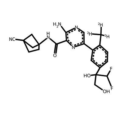 [2H]C([2H])([2H])c1ccc(C(O)(CO)C(F)F)cc1-c1cnc(N)c(C(=O)NC23CCC(C#N)(C2)C3)n1